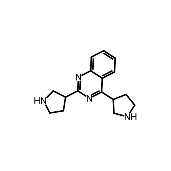 c1ccc2c(C3CCNC3)nc(C3CCNC3)nc2c1